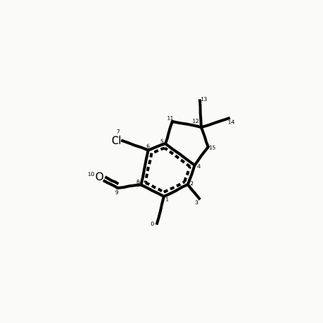 Cc1c(C)c2c(c(Cl)c1C=O)CC(C)(C)C2